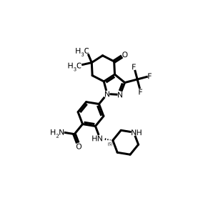 CC1(C)CC(=O)c2c(C(F)(F)F)nn(-c3ccc(C(N)=O)c(N[C@H]4CCCNC4)c3)c2C1